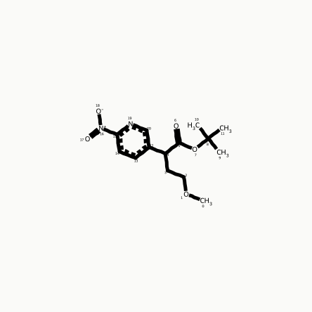 COCCC(C(=O)OC(C)(C)C)c1ccc([N+](=O)[O-])nc1